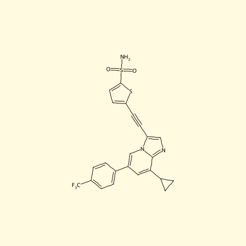 NS(=O)(=O)c1ccc(C#Cc2cnc3c(C4CC4)cc(-c4ccc(C(F)(F)F)cc4)cn23)s1